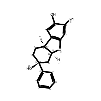 CCCc1cc2c(cc1O)[C@@H]1CC[C@@](O)(c3ccccc3)C[C@@H]1O2